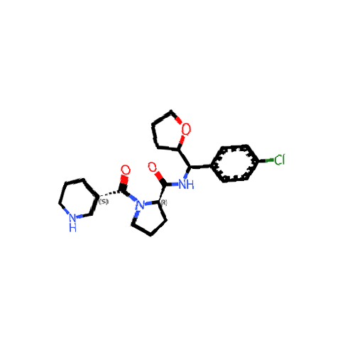 O=C(NC(c1ccc(Cl)cc1)C1CCCO1)[C@H]1CCCN1C(=O)[C@H]1CCCNC1